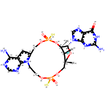 Nc1nc2c(ncn2[C@@H]2O[C@@H]3COP(=O)(S)OCCn4c(cc5c(N)ncnc54)COP(=O)(S)O[C@@H]2[C@@H]3F)c(=O)[nH]1